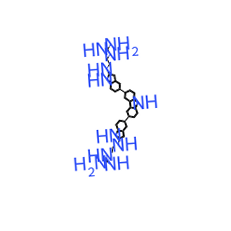 N=C(N)NCCNc1cc2cc(-c3ccc4[nH]c5ccc(-c6ccc7[nH]c(NCCNC(=N)N)cc7c6)cc5c4c3)ccc2[nH]1